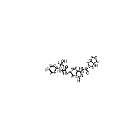 CC(C)(O)[C@@H](NC(=O)Nc1cc2[nH]nc(NC(=O)N3CC4COC[C@H]4C3)c2cn1)c1ccc(F)cc1